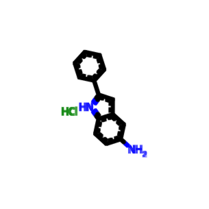 Cl.Nc1ccc2[nH]c(-c3ccccc3)cc2c1